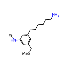 CCNc1cc(CCCCCCN)cc(CSC)c1